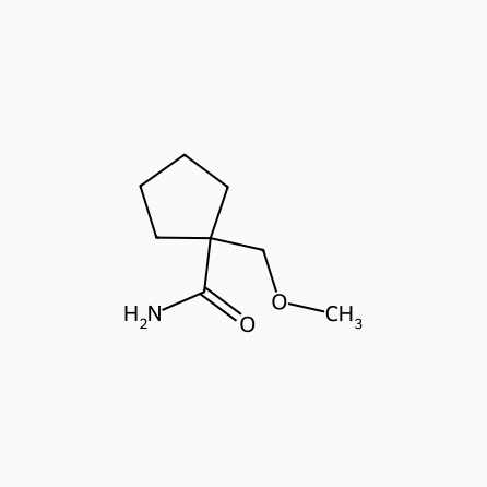 COCC1(C(N)=O)CCCC1